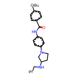 CC(C)CNC1CCN(c2ccc(NC(=O)c3ccc(OCC(C)C)cc3)cc2)C1